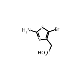 Nc1nc(CC(=O)O)c(Br)s1